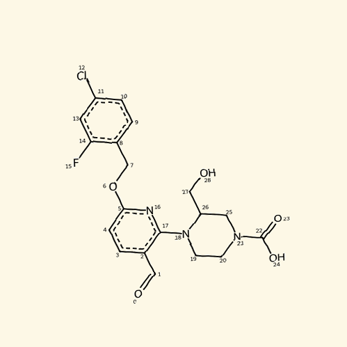 O=Cc1ccc(OCc2ccc(Cl)cc2F)nc1N1CCN(C(=O)O)CC1CO